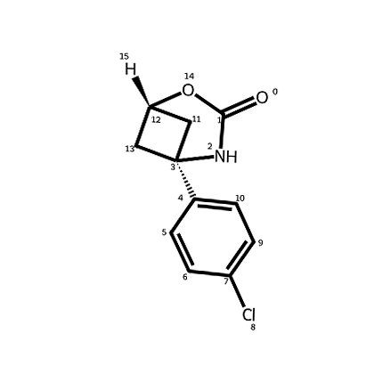 O=C1N[C@]2(c3ccc(Cl)cc3)C[C@H](C2)O1